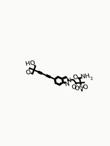 CC(C(N)=O)(C(=O)Cn1cc2cc(C#CC#CC3(CO)COC3)ccc2n1)S(C)(=O)=O